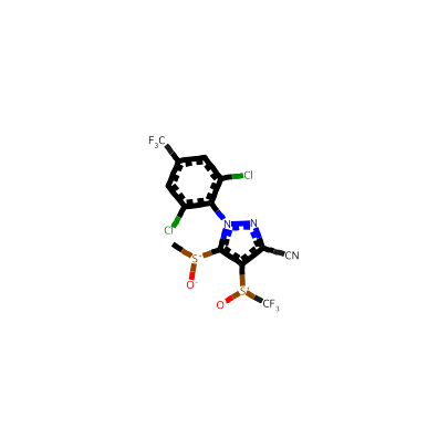 C[S+]([O-])c1c([S+]([O-])C(F)(F)F)c(C#N)nn1-c1c(Cl)cc(C(F)(F)F)cc1Cl